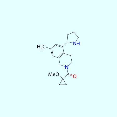 COC1(C(=O)N2CCc3c(cc(C)cc3[C@@H]3CCCN3)C2)CC1